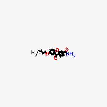 CCCCOc1ccc2oc3cc(C(N)=O)ccc3c(=O)c2c1